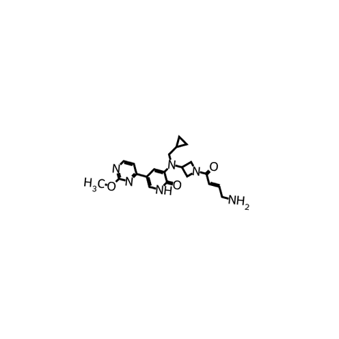 COc1nccc(-c2c[nH]c(=O)c(N(CC3CC3)C3CN(C(=O)C=CCN)C3)c2)n1